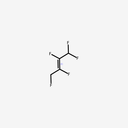 FC/C(F)=C(\F)C(F)F